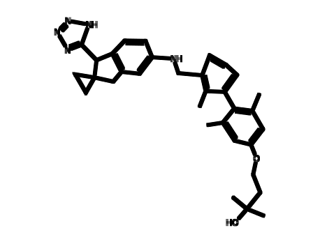 Cc1cc(OCCC(C)(C)O)cc(C)c1-c1cccc(CNc2ccc3c(c2)CC2(CC2)C3c2nnn[nH]2)c1C